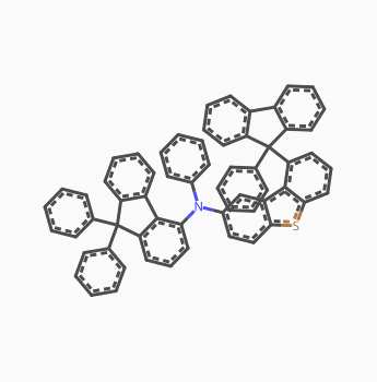 c1ccc(N(c2ccc3sc4cccc(C5(c6ccccc6)c6ccccc6-c6ccccc65)c4c3c2)c2cccc3c2-c2ccccc2C3(c2ccccc2)c2ccccc2)cc1